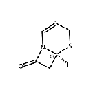 O=C1C[C@@H]2SC[C]=CN12